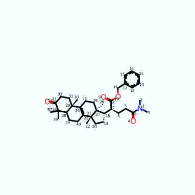 CN(C)C(=O)CC[C@H](C(=O)OCc1ccccc1)[C@@H]1CC[C@]2(C)C3=C(CC[C@@]12C)[C@@]1(C)CCC(=O)C(C)(C)C1CC3